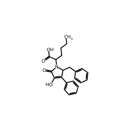 CCCCC(C(=O)O)N1C(=O)C(O)=C(c2ccccc2)C1Cc1ccccc1